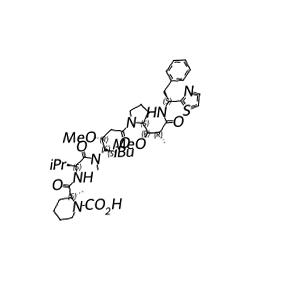 CC[C@H](C)[C@@H]([C@@H](CC(=O)N1CCC[C@H]1[C@H](OC)[C@@H](C)C(=O)N[C@@H](Cc1ccccc1)c1nccs1)OC)N(C)C(=O)[C@@H](NC(=O)[C@]1(C)CCCCN1C(=O)O)C(C)C